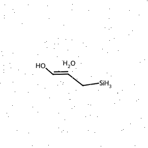 O.OC=CC[SiH3]